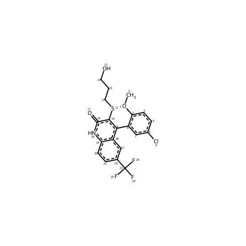 COc1ccc(Cl)cc1-c1c(SCCCO)c(=O)[nH]c2ccc(C(F)(F)F)cc12